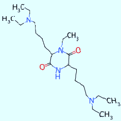 CCN(CC)CCCCC1NC(=O)C(CCCCN(CC)CC)N(CC)C1=O